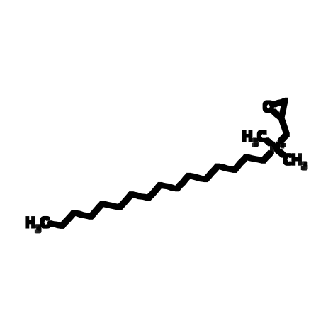 CCCCCCCCCCCCCCCC[N+](C)(C)CC1CO1